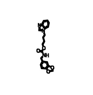 O=C(NCc1ccc2c(c1)OCO2)OCCCCn1cnc2ccccc21